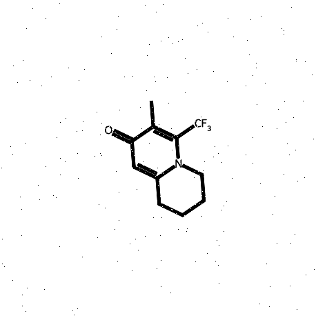 Cc1c(C(F)(F)F)n2c(cc1=O)CCCC2